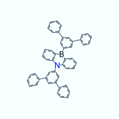 c1ccc(-c2cc(B3c4ccccc4N(c4cc(-c5ccccc5)cc(-c5ccccc5)c4)c4ccccc43)cc(-c3ccccc3)c2)cc1